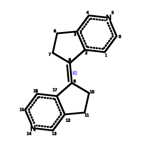 c1cc2c(cn1)CC/C2=C1/CCc2cnccc21